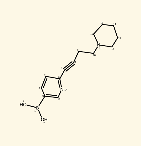 OB(O)c1ccc(C#CCCN2CCCCC2)nc1